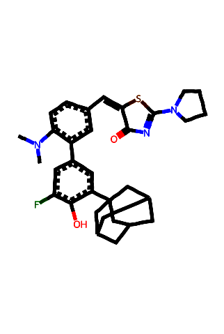 CN(C)c1ccc(C=C2SC(N3CCCC3)=NC2=O)cc1-c1cc(F)c(O)c(C23CC4CC(CC(C4)C2)C3)c1